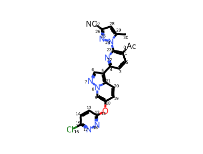 CC(=O)c1ccc(-c2cnn3cc(Oc4ccc(Cl)nn4)ccc23)nc1-n1nc(C#N)cc1C